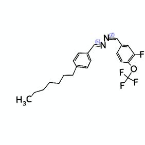 CCCCCCCc1ccc(/C=N/N=C\c2ccc(OC(F)(F)F)c(F)c2)cc1